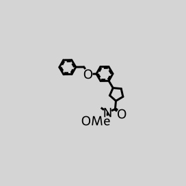 CON(C)C(=O)C1CCC(c2cccc(OCc3ccccc3)c2)C1